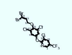 FC(F)(F)c1cnc(Oc2cc(Cl)c(OCC=C(Br)Br)c(Cl)c2)c(Cl)c1